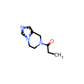 CCC(=O)N1CCn2cncc2C1